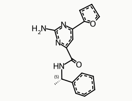 C[C@H](NC(=O)c1cc(-c2ccco2)nc(N)n1)c1ccccc1